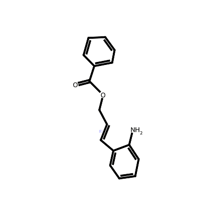 Nc1ccccc1/C=C/COC(=O)c1ccccc1